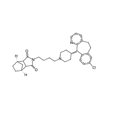 O=C1C2C(C(=O)N1CCCCN1CCC(=C3c4ccc(Cl)cc4CCc4cccnc43)CC1)[C@H]1CC[C@@H]2C1